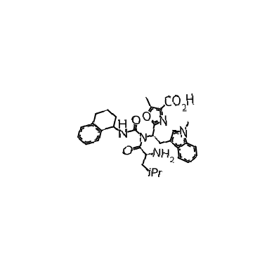 Cc1oc([C@@H](Cc2cn(C)c3ccccc23)N(C(=O)NC2CCCc3ccccc32)C(=O)[C@@H](N)CC(C)C)nc1C(=O)O